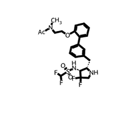 CC(=O)N(C)CCOc1ccccc1-c1cccc(C[C@@H]2NCC(F)(F)[C@@H]2NS(=O)(=O)C(F)F)c1